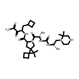 CC(C)(C)[C@H](NC(=O)N[C@H](CN1CCNCC1(C)C)C(C)(C)C)C(=O)N1CC2(CC1C(=O)NC(CC1CCC1)C(=O)C(N)=O)C(C)(C)C21CCC1